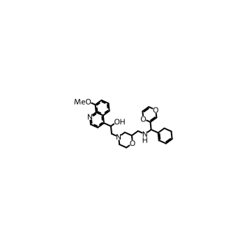 COc1cccc2c(C(O)CN3CCOC(CNC(C4=CC=CCC4)C4=COC=CO4)C3)ccnc12